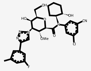 CO[C@@H]1[C@@H](n2cc(-c3cc(C)cc(F)c3)nn2)[C@@H](O)[C@@H](CO)O[C@H]1C(=O)N(c1cc(Cl)cc(C#N)c1)[C@H]1CCCC[C@@H]1O